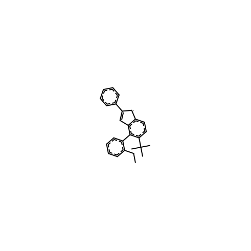 CCc1ccccc1-c1c(C(C)(C)C)ccc2c1C=C(c1ccccc1)[CH]2